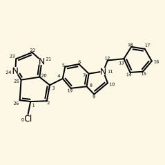 Clc1cc(-c2ccc3c(ccn3Cc3ccccc3)c2)c2nccnc2c1